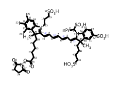 CCCC(N1\C(=C/C=C/C=C/C=C/C2=[N+](CCCS(=O)(=O)O)c3cc(I)c(I)c(I)c3C2(C)CCCCCC(=O)ON2C(=O)CCC2=O)C(C)(CCCCS(=O)(=O)O)c2cc(S(=O)(=O)O)ccc21)S(=O)(=O)O